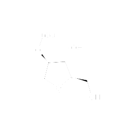 CCCCO[C@@H]1CO[C@H](CO)[C@H]1O